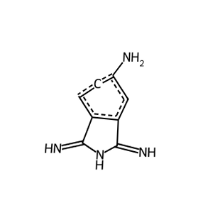 N=C1NC(=N)c2cc(N)ccc21